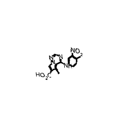 Cc1ccc(Nc2ncnn3cc(C(=O)O)c(C)c23)cc1[N+](=O)[O-]